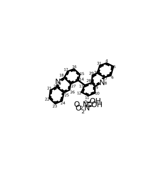 O=[N+]([O-])O.O=[N+]([O-])O.c1ccc2nc3cccc(-c4cccc5nc6ccccc6cc45)c3cc2c1